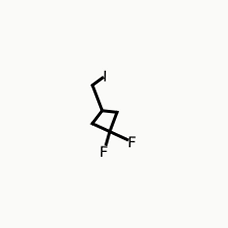 FC1(F)CC(CI)C1